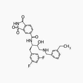 CCc1cccc(CNC[C@H](O)[C@@H](Cc2cc(F)cc(F)c2)NC(=O)c2ccc3c(c2)S(=O)(=O)NC3=O)c1